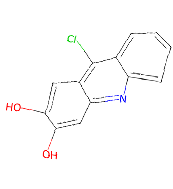 Oc1cc2nc3ccccc3c(Cl)c2cc1O